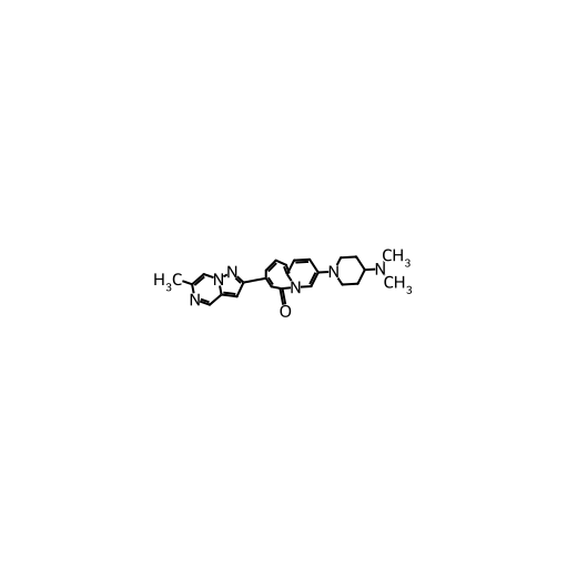 Cc1cn2nc(C3=C\C(=O)N4C=C(N5CCC(N(C)C)CC5)C=C\C4=C/C=C/3)cc2cn1